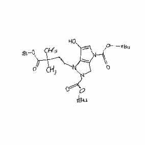 CC(C)(C)OC(=O)N1Cc2c(c(O)cn2C(=O)OC(C)(C)C)N1CCC(C)(C)C(=O)OC(C)(C)C